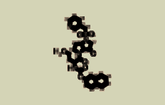 CCCC(NC(=O)Oc1ccc2ccccc2c1)C(=O)N1CCC2C1C(=O)CN2S(=O)(=O)Cc1cccnc1